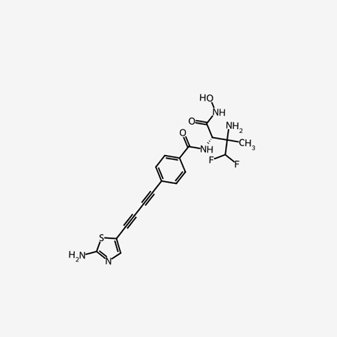 CC(N)(C(F)F)[C@H](NC(=O)c1ccc(C#CC#Cc2cnc(N)s2)cc1)C(=O)NO